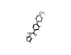 CN1CCN(c2ccc(C(=O)Nc3ccsc3)cc2)CC1